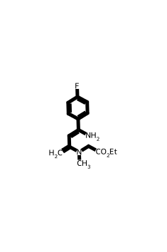 C=C(/C=C(\N)c1ccc(F)cc1)N(C)CC(=O)OCC